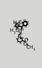 CCOC(=O)C1CCCN(CCOC=C(c2ccccc2C)c2sccc2C)C1